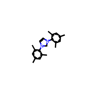 Cc1cc(C)c(N2[CH]N(c3c(C)cc(C)cc3C)C=C2)c(C)c1